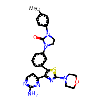 COc1ccc(N2CCN(c3cccc(-c4sc(N5CCOCC5)nc4-c4ccnc(N)n4)c3)C2=O)cc1